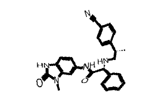 C[C@H](CN[C@@H](C(=O)Nc1ccc2[nH]c(=O)n(C)c2c1)c1ccccc1)c1ccc(C#N)cc1